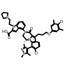 Cc1cc(OCCCc2c3n(c4c(-c5c(C)nn(C)c5C)c(Cl)ccc24)[C@H](C)CN(c2cccc4c2cc(C(=O)O)n4CCN2CCCC2)C3=O)cc(C)c1Cl